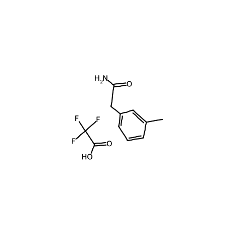 Cc1cccc(CC(N)=O)c1.O=C(O)C(F)(F)F